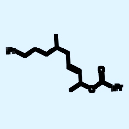 CCCC(=O)OC(C)C=CCC(C)CCCC(C)C